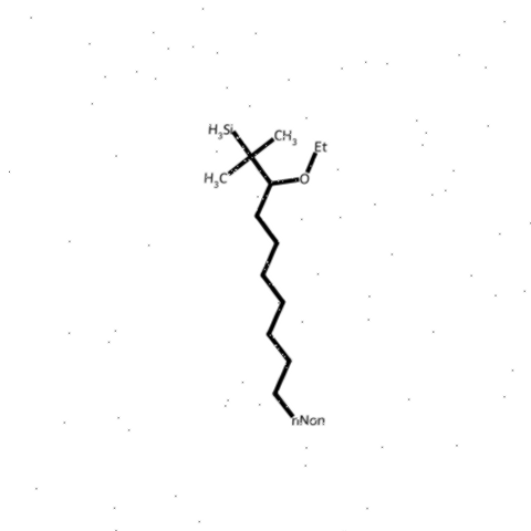 CCCCCCCCCCCCCCCCC(OCC)C(C)(C)[SiH3]